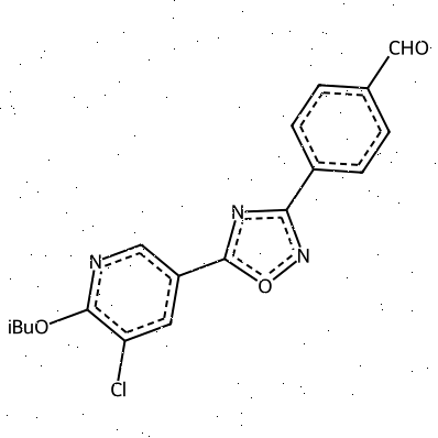 CC(C)COc1ncc(-c2nc(-c3ccc(C=O)cc3)no2)cc1Cl